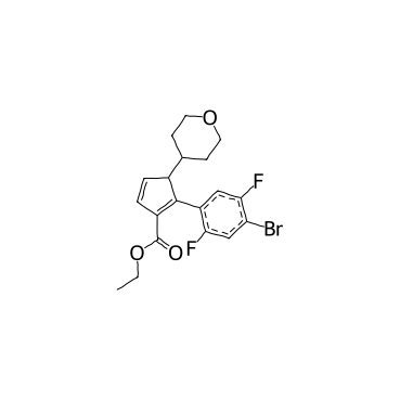 CCOC(=O)C1=C(c2cc(F)c(Br)cc2F)C(C2CCOCC2)C=C1